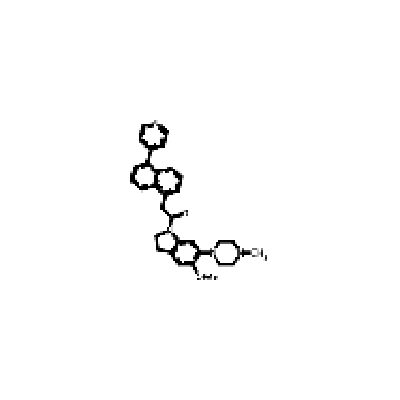 COc1cc2c(cc1N1CCN(C)CC1)N(C(=O)Cc1cccc3c(-c4ccncc4)cccc13)CC2